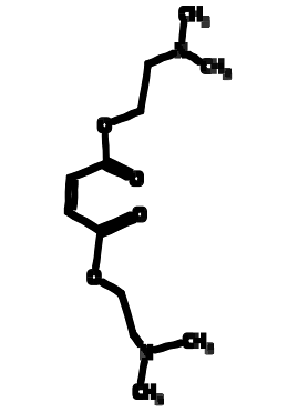 CN(C)CCOC(=O)/C=C\C(=O)OCCN(C)C